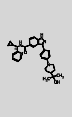 CC(C)(O)C1CCN(c2ccc(-c3n[nH]c4ccc(C(=O)N[C@H](c5ccccn5)C5CC5)cc34)cc2)CC1